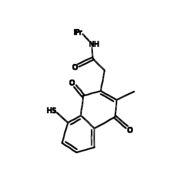 CC1=C(CC(=O)NC(C)C)C(=O)c2c(S)cccc2C1=O